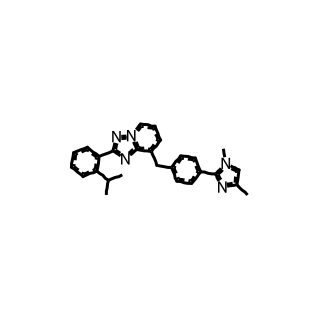 Cc1cn(C)c(-c2ccc(Cc3cccn4nc(-c5ccccc5C(C)C)nc34)cc2)n1